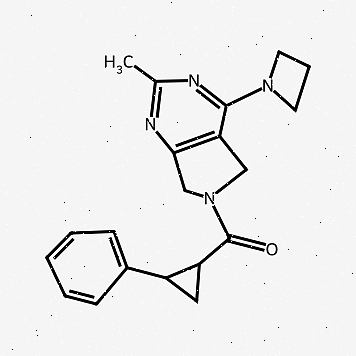 Cc1nc2c(c(N3CCC3)n1)CN(C(=O)C1CC1c1ccccc1)C2